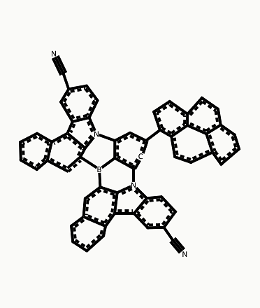 N#Cc1ccc2c(c1)c1c3ccccc3cc3c1n2-c1cc(-c2ccc4ccc5cccc6ccc2c4c56)cc2c1B3c1cc3ccccc3c3c4cc(C#N)ccc4n-2c13